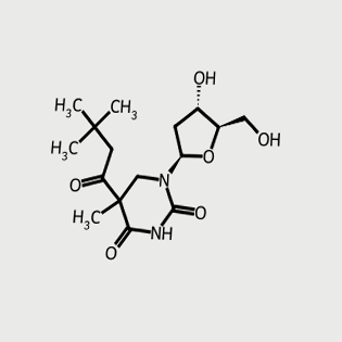 CC(C)(C)CC(=O)C1(C)CN([C@H]2C[C@H](O)[C@@H](CO)O2)C(=O)NC1=O